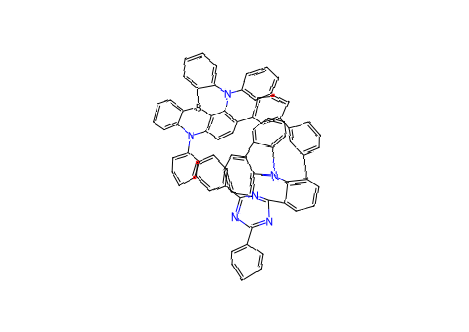 c1ccc(-c2nc(-c3ccccc3)nc(-c3cccc(-c4cccc(-c5cccc(-c6ccc7c8c6N(c6ccccc6)c6ccccc6B8c6ccccc6N7c6ccccc6)c5)c4)c3-n3c4ccccc4c4ccccc43)n2)cc1